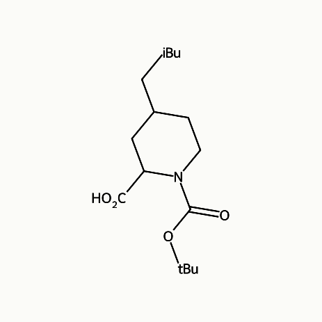 CCC(C)CC1CCN(C(=O)OC(C)(C)C)C(C(=O)O)C1